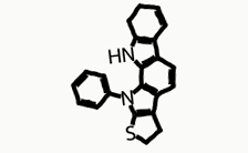 C1=Cc2c([nH]c3c2ccc2c4c(n(-c5ccccc5)c23)SCC4)CC1